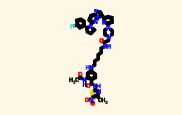 CC(=O)Nc1cc(NCCCCCCNC(=O)CN2CCN(c3cccc(-c4cnc5ccc(N6CCC[C@@H]6c6cccc(F)c6)nn45)n3)CC2)ccc1C(=O)Nc1nc(C)c([N+](=O)[O-])s1